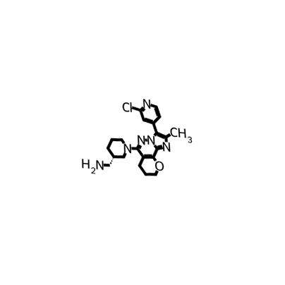 Cc1nc2c3c(c(N4CCC[C@@H](CN)C4)nn2c1-c1ccnc(Cl)c1)CCCO3